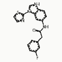 O=C(Cc1cccc(F)c1)Nc1ccc2[nH]c[n+](-c3nccs3)c2c1